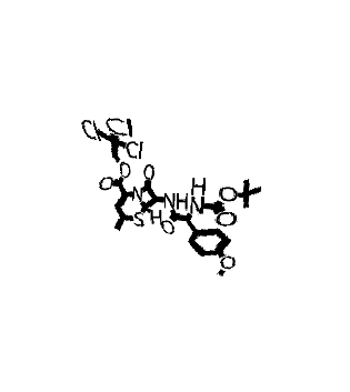 COc1ccc(C(NC(=O)OC(C)(C)C)C(=O)NC2C(=O)N3C(C(=O)OCC(Cl)(Cl)Cl)=CC(C)S[C@@H]23)cc1